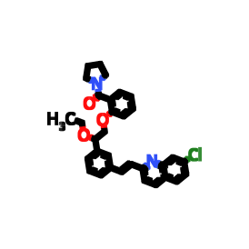 CCOC(COc1ccccc1C(=O)N1CCCC1)c1cccc(/C=C/c2ccc3ccc(Cl)cc3n2)c1